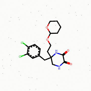 O=C1NCC(CCOC2CCCCO2)(Cc2ccc(Cl)c(Cl)c2)NC1=O